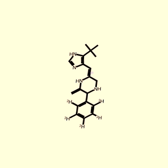 [2H]c1c([2H])c([2H])c(C2NC/C(=C/c3nc[nH]c3C(C)(C)C)NC2=C)c([2H])c1[2H]